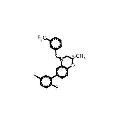 C[C@H]1CN(Sc2cccc(C(F)(F)F)c2)c2cc(-c3cc(F)ccc3F)ccc2O1